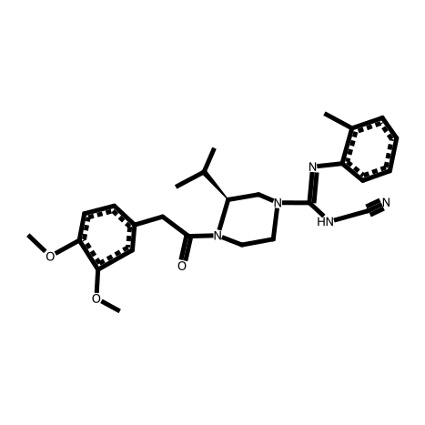 COc1ccc(CC(=O)N2CCN(C(=Nc3ccccc3C)NC#N)C[C@@H]2C(C)C)cc1OC